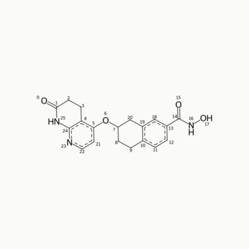 O=C1CCc2c(OC3CCc4ccc(C(=O)NO)cc4C3)ccnc2N1